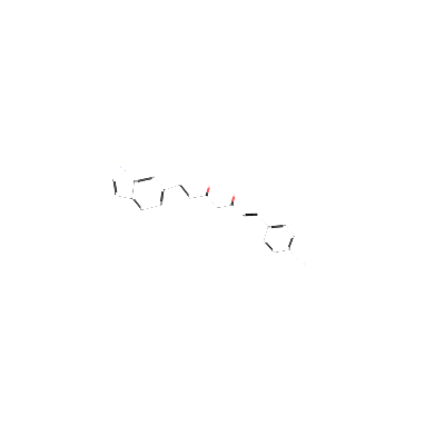 O=C(C=Cc1ccc(O)cc1)CC(=O)C=Cc1ccc2cc[nH]c2c1